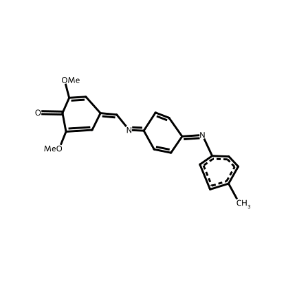 COC1=CC(=CN=C2C=CC(=Nc3ccc(C)cc3)C=C2)C=C(OC)C1=O